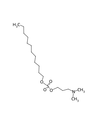 CCCCCCCCCCCCOS(=O)(=O)OCCCN(C)C